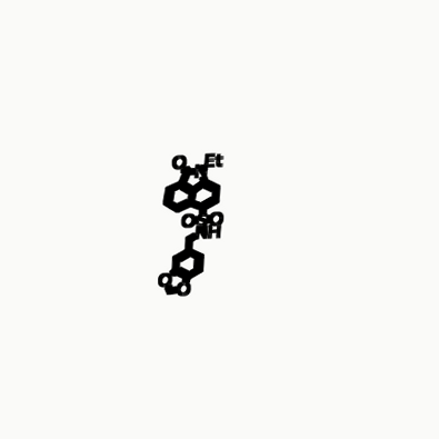 CCN1C(=O)c2cccc3c(S(=O)(=O)NCc4ccc5c(c4)OCO5)ccc1c23